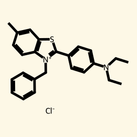 CCN(CC)c1ccc(-c2sc3cc(C)ccc3[n+]2Cc2ccccc2)cc1.[Cl-]